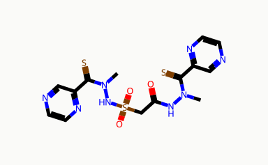 CN(NC(=O)CS(=O)(=O)NN(C)C(=S)c1cnccn1)C(=S)c1cnccn1